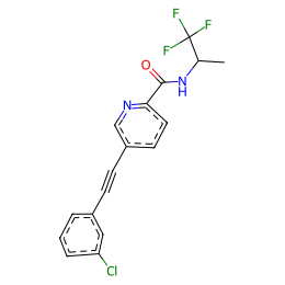 CC(NC(=O)c1ccc(C#Cc2cccc(Cl)c2)cn1)C(F)(F)F